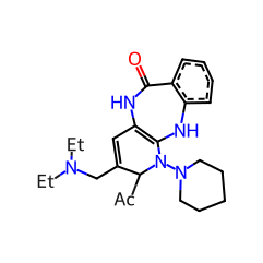 CCN(CC)CC1=CC2=C(Nc3ccccc3C(=O)N2)N(N2CCCCC2)C1C(C)=O